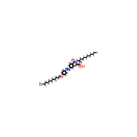 CCCCCCCCCCCCN(C(=O)c1ccc(/N=N/c2ccc(OCCCCCCCCCCBr)cc2)cc1)[C@@H](C)C(=O)O